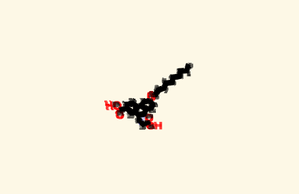 CCCCCCCCCCOc1ccc(/C=C(/C=C\C(=O)O)c2cccc(C(=O)O)c2)cc1